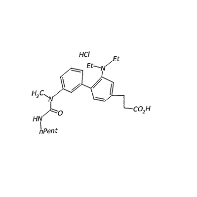 CCCCCNC(=O)N(C)c1cccc(-c2ccc(CCC(=O)O)cc2N(CC)CC)c1.Cl